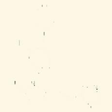 O=C1OCC(COc2cnsn2)N1c1ccc(C2=CCOCC2)c(F)c1